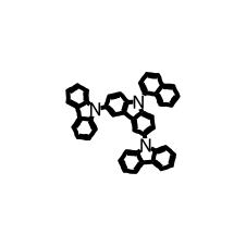 c1ccc2c(-n3c4ccc(-n5c6ccccc6c6ccccc65)cc4c4cc(-n5c6ccccc6c6ccccc65)ccc43)cccc2c1